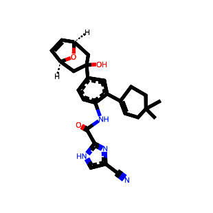 CC1(C)CC=C(c2cc(C3(O)C[C@H]4C=C[C@@H](C3)O4)ccc2NC(=O)c2nc(C#N)c[nH]2)CC1